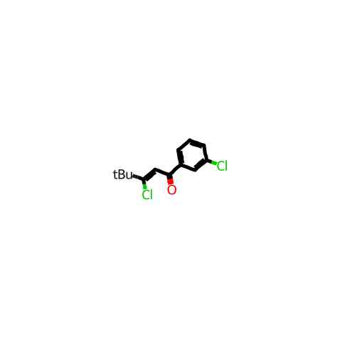 CC(C)(C)/C(Cl)=C/C(=O)c1cccc(Cl)c1